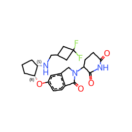 O=C1CCC(N2Cc3cc(O[C@@H]4CCC[C@@H]4NCC4CC(F)(F)C4)ccc3C2=O)C(=O)N1